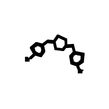 Brc1ccc(C=C2CCC(=Cc3ccc(Br)cc3)CC2)cc1